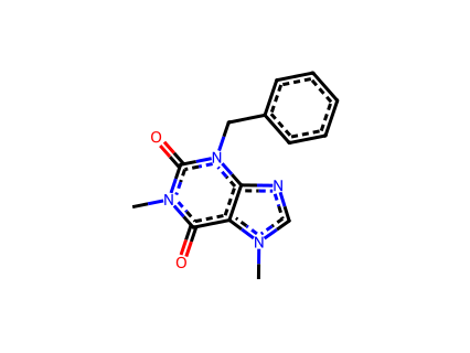 Cn1c(=O)c2c(ncn2C)n(Cc2ccccc2)c1=O